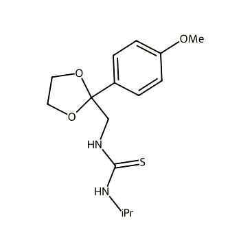 COc1ccc(C2(CNC(=S)NC(C)C)OCCO2)cc1